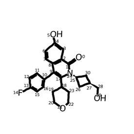 O=c1c2cc(O)ccc2c(-c2ccc(F)cc2)c(C2CCOCC2)n1[C@H]1C[C@H](CO)C1